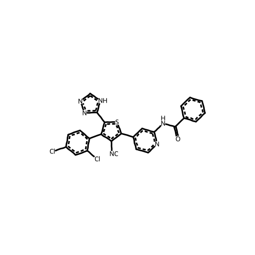 [C-]#[N+]c1c(-c2ccnc(NC(=O)c3ccccc3)c2)sc(-c2nnc[nH]2)c1-c1ccc(Cl)cc1Cl